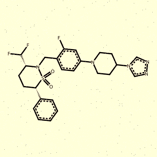 O=S1(=O)[C@H](c2ccccc2)CC[C@H](C(F)F)N1Cc1ccc(N2CCC(n3cnnc3)CC2)cc1F